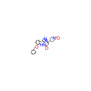 O=CN1CCC(c2cc(=O)[nH]c3c(-c4cccc(OCc5ccccc5)c4)cnn23)CC1